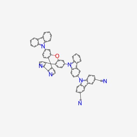 N#Cc1ccc2c(c1)c1cc(C#N)ccc1n2-c1ccc2c(c1)c1ccccc1n2-c1ccc2c(c1)Oc1cc(-n3c4ccccc4c4ccccc43)ccc1C21c2cccnc2-c2ncccc21